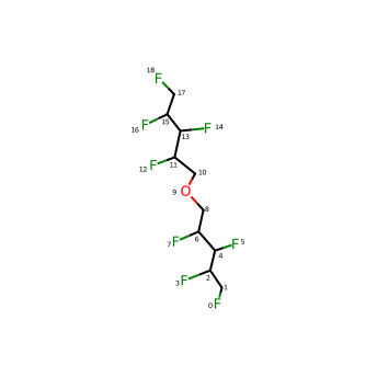 FCC(F)C(F)C(F)COCC(F)C(F)C(F)CF